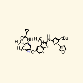 C=N/C(=C\C(=C/C)Oc1cnc2nc(Nc3cc(C(C)(C)C)n([C@@H]4CCOC4)n3)n(C)c2c1)NC(=O)C1CC1